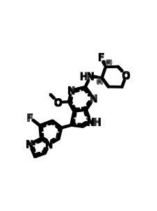 COc1nc(N[C@@H]2CCOC[C@@H]2F)nc2[nH]cc(-c3cc(F)c4nccn4c3)c12